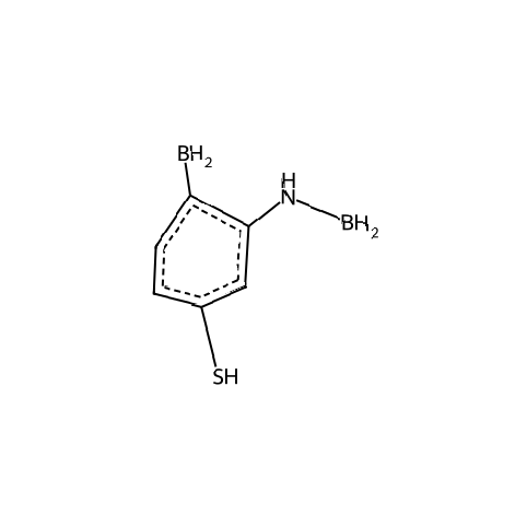 BNc1cc(S)ccc1B